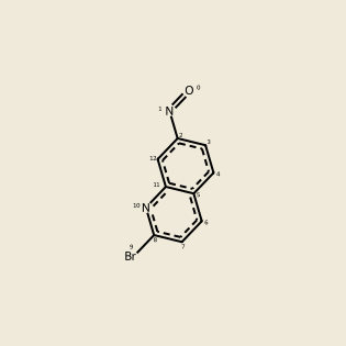 O=Nc1ccc2ccc(Br)nc2c1